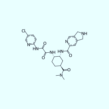 CN(C)C(=O)[C@H]1CC[C@H](NC(=O)C(=O)Nc2ccc(Cl)cn2)[C@H](NC(=O)c2cc3c(cn2)CNC3)C1